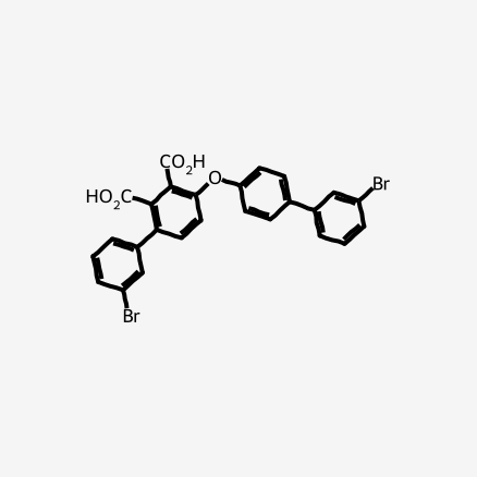 O=C(O)c1c(Oc2ccc(-c3cccc(Br)c3)cc2)ccc(-c2cccc(Br)c2)c1C(=O)O